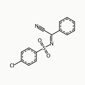 N#CC(=NS(=O)(=O)c1ccc(Cl)cc1)c1ccccc1